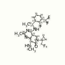 CNc1c(=O)n(C2(CF)CC2)cc2c(N[C@H](C)c3cccc(C(F)F)c3F)nc(C)nc12